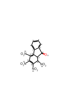 O=C1c2ccccc2C2=C([N+](=O)[O-])C([N+](=O)[O-])=C([N+](=O)[O-])C([N+](=O)[O-])C12